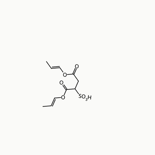 CC=COC(=O)CC(C(=O)OC=CC)S(=O)(=O)O